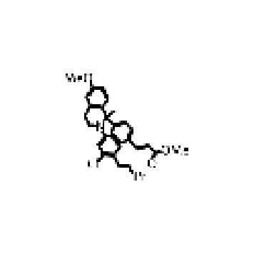 COC(=O)/C=C/c1ccc(C2(C)c3ccc(OC)cc3CCN2c2ccc(CCC(C)C)c(Cl)c2)cc1